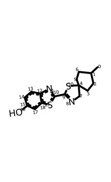 CC1CCC2(CC1)CN=C(c1nc3ccc(O)cc3s1)S2